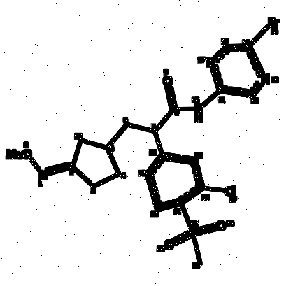 CO/N=C1/CCC(CC(C(=O)Nc2cnc(Br)cn2)c2ccc(S(C)(=O)=O)c(Cl)c2)C1